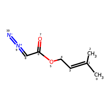 CC(C)=CCOC(=O)C=[N+]=[N-]